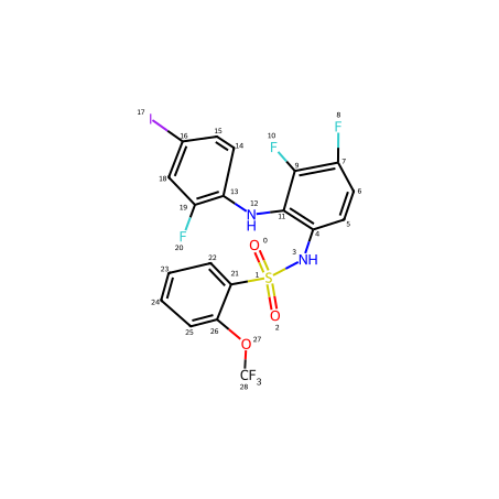 O=S(=O)(Nc1ccc(F)c(F)c1Nc1ccc(I)cc1F)c1ccccc1OC(F)(F)F